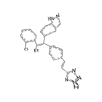 CCC(=C(c1ccc(C=Cc2nn[nH]n2)cc1)c1ccc2[nH]ncc2c1)c1ccccc1Cl